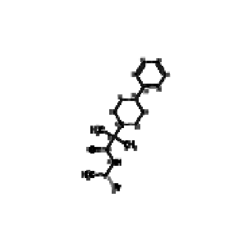 CC(C)[C@H](C)NC(=O)C(C)(C)N1CCC(c2ccccc2)CC1